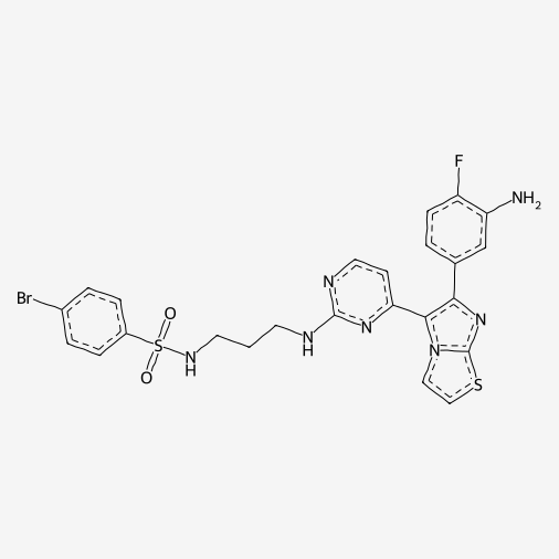 Nc1cc(-c2nc3sccn3c2-c2ccnc(NCCCNS(=O)(=O)c3ccc(Br)cc3)n2)ccc1F